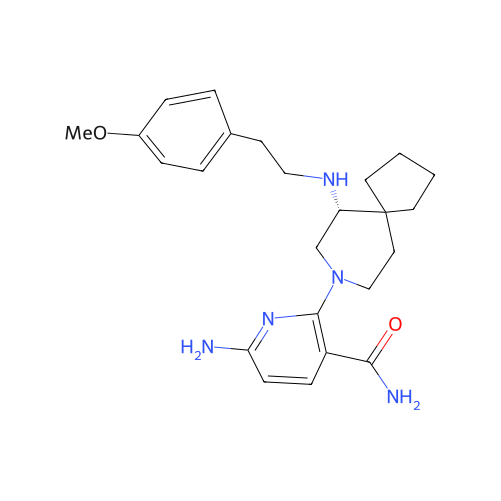 COc1ccc(CCN[C@H]2CN(c3nc(N)ccc3C(N)=O)CCC23CCCC3)cc1